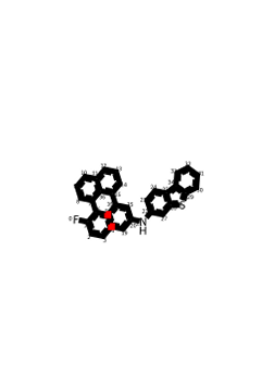 Fc1ccccc1-c1cccc2cccc(-c3cccc(Nc4ccc5c(c4)sc4ccccc45)c3)c12